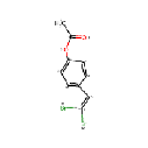 CC(=O)Oc1ccc(C=C(Br)Br)cc1